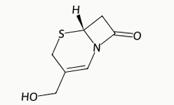 O=C1C[C@H]2SCC(CO)=CN12